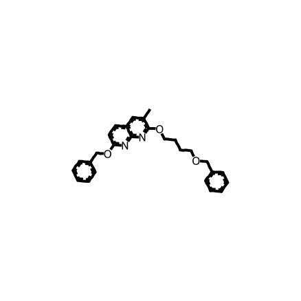 Cc1cc2ccc(OCc3ccccc3)nc2nc1OCCCCOCc1ccccc1